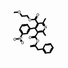 C=C(Cc1ccccc1)OC(=O)c1c(C)nc(C)c(C(=O)OCCOC)c1-c1cccc([N+](=O)[O-])c1